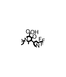 CC[C@@H](C)n1cc(C(=O)O)c(=O)c(-c2ccnc(C(F)(F)F)c2)c1C